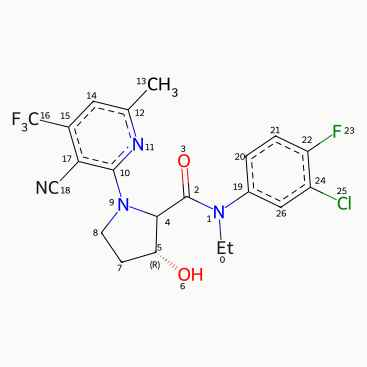 CCN(C(=O)C1[C@H](O)CCN1c1nc(C)cc(C(F)(F)F)c1C#N)c1ccc(F)c(Cl)c1